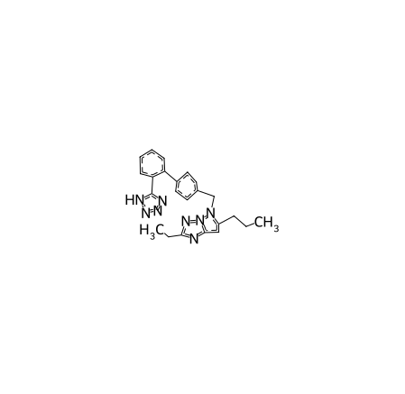 CCCc1cc2nc(CC)nn2n1Cc1ccc(-c2ccccc2-c2nnn[nH]2)cc1